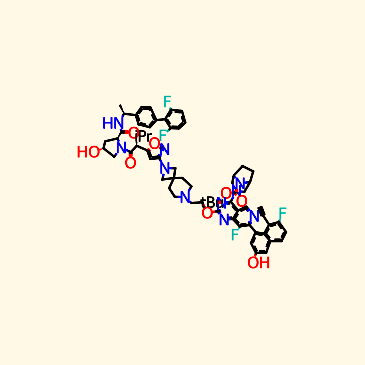 C#Cc1c(F)ccc2cc(O)cc(-c3ncc4c(N5CC6CCC(C5)N6C(=O)OC(C)(C)C)nc(OCCN5CCC6(CC5)CN(c5cc([C@H](C(=O)N7C[C@H](O)C[C@H]7C(=O)N[C@@H](C)c7ccc(-c8c(F)cccc8F)cc7)C(C)C)on5)C6)nc4c3F)c12